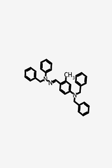 Cc1cc(N(Cc2ccccc2)Cc2ccccc2)ccc1/C=N/N(Cc1ccccc1)c1ccccc1